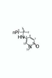 CCCC(C)(C)Nc1ccc(=O)n(C)c1